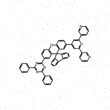 c1ccc(-c2nc(-c3ccccc3)nc(-c3ccc4c(c3)C3(c5cc(-c6cc(-c7cccnc7)nc(-c7cccnc7)c6)ccc5O4)c4ccccc4-c4ccccc43)n2)cc1